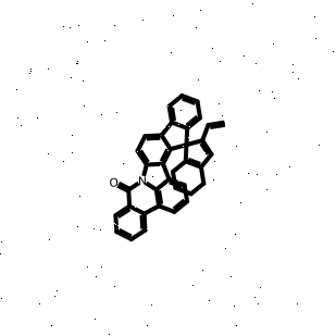 C=CC1=CC2=C(CCCC2)C12c1ccccc1-c1ccc3c(c12)c1cccc2c4ccccc4c(=O)n3c21